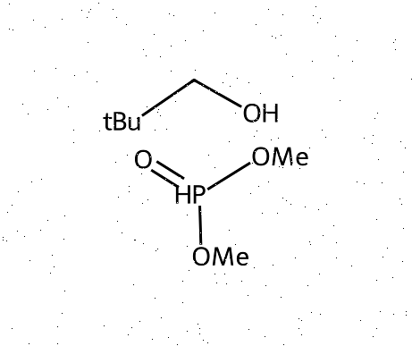 CC(C)(C)CO.CO[PH](=O)OC